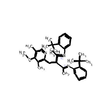 COc1c(C)cnc(CC(/C(C)=N/c2ccccc2C(C)(C)C)/C(C)=N/c2ccccc2C(C)(C)C)c1C